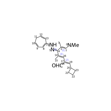 CN/C=C(C)/C(=N\NC1=CC=CCC=C1)C(/C)=C/C(C=O)=C/C1CCC1